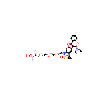 CCN(CC)C(=O)c1c(-c2ccc(F)cc2)oc2cc(N(CCOCCOCCOCC(=O)NO)S(C)(=O)=O)c(C3CC3)cc12